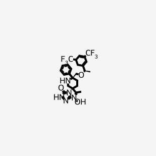 C/C(=N\O)[C@]1(n2cn[nH]c2=O)CC[C@@](CO[C@H](C)C2=CC(C(F)(F)F)=CC(C(F)(F)F)C2)(c2ccccc2)NC1